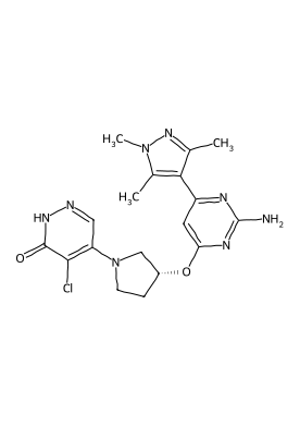 Cc1nn(C)c(C)c1-c1cc(O[C@@H]2CCN(c3cn[nH]c(=O)c3Cl)C2)nc(N)n1